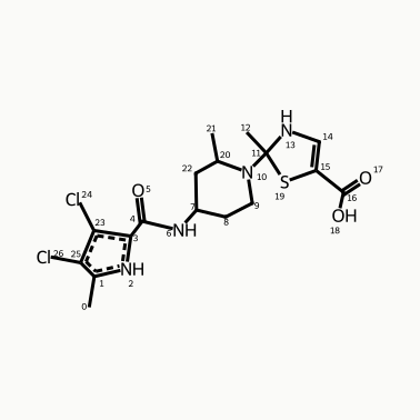 Cc1[nH]c(C(=O)NC2CCN(C3(C)NC=C(C(=O)O)S3)C(C)C2)c(Cl)c1Cl